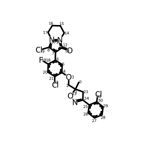 CC1(COc2cc(-c3c(Cl)n4n(c3=O)CCCC4)c(F)cc2Cl)CC(c2ccccc2Cl)=NO1